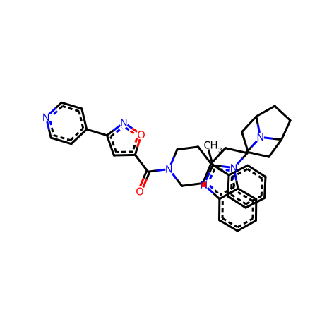 Cc1nc2ccccc2n1C1CC2CCC(C1)N2CCC1(c2ccccc2)CCN(C(=O)c2cc(-c3ccncc3)no2)CC1